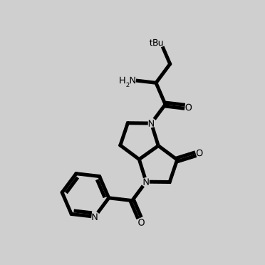 CC(C)(C)CC(N)C(=O)N1CCC2C1C(=O)CN2C(=O)c1ccccn1